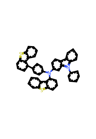 c1ccc(-n2c3ccccc3c3ccc(N(c4ccc(-c5cccc6sc7ccccc7c56)cc4)c4cccc5sc6ccccc6c45)cc32)cc1